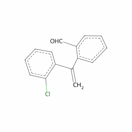 C=C(c1ccccc1Cl)c1ccccc1C=O